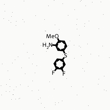 COc1ccc(Sc2ccc(F)c(F)c2)cc1N